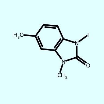 Cc1ccc2c(c1)n(C)c(=O)n2I